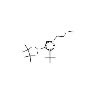 COCCn1cc(B2OC(C)(C)C(C)(C)O2)c(C(F)(F)F)n1